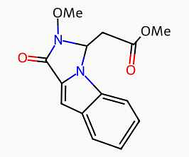 COC(=O)CC1N(OC)C(=O)c2cc3ccccc3n21